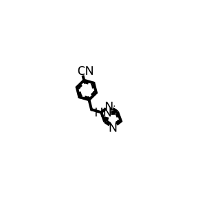 N#Cc1ccc(CC2[N]c3cnc2[nH]3)cc1